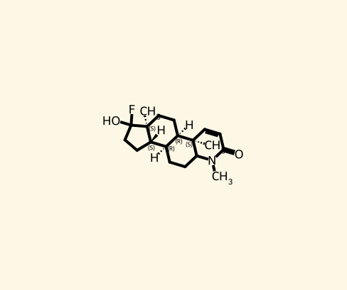 CN1C(=O)C=C[C@@]2(C)C1CC[C@@H]1[C@H]2CC[C@@]2(C)[C@H]1CCC2(O)F